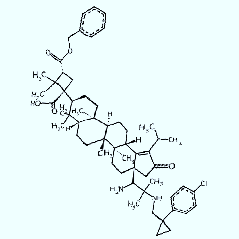 CC(C)C1=C2[C@H]3CC[C@@H]4[C@]5(C)CC[C@H]([C@@]6(C(=O)O)C[C@@H](C(=O)OCc7ccccc7)C6(C)C)C(C)(C)[C@H]5CC[C@@]4(C)[C@]3(C)CC[C@@]2(C(N)C(C)(C)NCC2(c3ccc(Cl)cc3)CC2)CC1=O